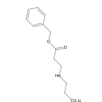 O=C(O)CCNCCC(=O)OCc1ccccc1